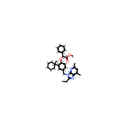 CCc1nc2c(C)cc(C)nc2n1Cc1ccc(OC(C(=O)OC)c2ccccc2)c(C2(C)CCCCC2)c1